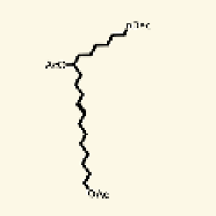 CCCCCCCCCCCCCCCCC(CCCC=CCCCCCCCOC(C)=O)OC(C)=O